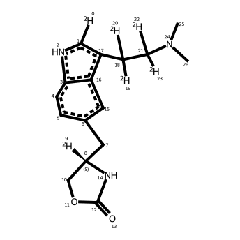 [2H]c1[nH]c2ccc(C[C@@]3([2H])COC(=O)N3)cc2c1C([2H])([2H])C([2H])([2H])N(C)C